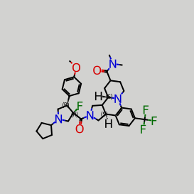 COc1ccc([C@@H]2CN(C3CCCC3)C[C@@]2(F)C(=O)N2CC3[C@H](C2)c2ccc(C(F)(F)F)cc2N2CCC(C(=O)N(C)C)C[C@@H]32)cc1